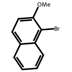 COc1ccc2[c]cccc2c1Br